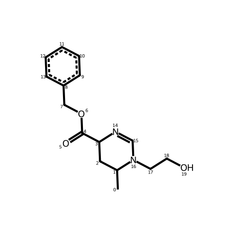 CC1CC(C(=O)OCc2ccccc2)N=CN1CCO